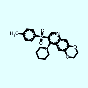 Cc1ccc(S(=O)(=O)c2cnc3cc4c(cc3c2N2CCCCC2)OCCO4)cc1